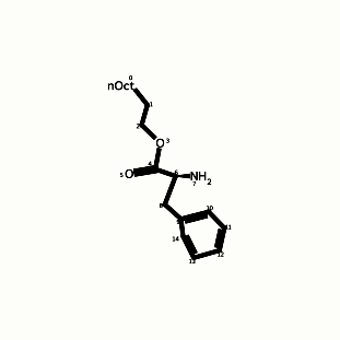 CCCCCCCCCCOC(=O)[C@@H](N)Cc1ccccc1